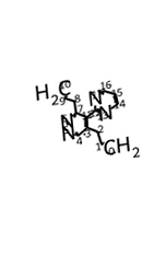 C=CCc1[c]nnc(CC=C)c1-c1ncccn1